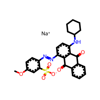 COc1ccc(N=Nc2ccc(NC3CCCCC3)c3c2C(=O)c2ccccc2C3=O)c(S(=O)(=O)[O-])c1.[Na+]